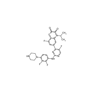 CC(C)n1c(=O)c(=O)sc2c(F)cc(-c3nc(Nc4ccc(N5CCNCC5)c(F)c4F)ncc3F)cc21